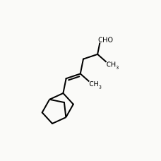 C/C(=C\C1CC2CCC1C2)CC(C)C=O